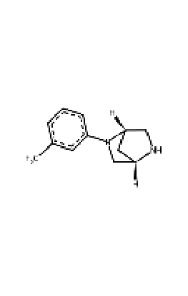 FC(F)(F)c1cccc(N2C[C@@H]3C[C@H]2CN3)c1